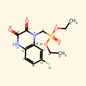 CCOP(=O)(Cn1c(=O)c(=O)[nH]c2ccc(F)cc21)OCC